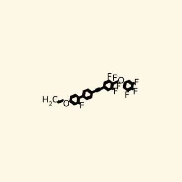 C=CCOc1ccc(-c2ccc(C#Cc3cc(F)c(C(F)(F)Oc4cc(F)c(F)c(F)c4)c(F)c3)cc2)c(F)c1